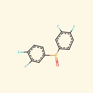 O=[P](c1ccc(F)c(F)c1)c1ccc(F)c(F)c1